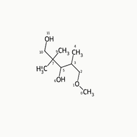 COCC(C)C(O)C(C)(C)CO